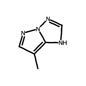 Cc1cnn2nc[nH]c12